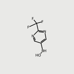 OBc1cnc(C(F)(F)F)nc1